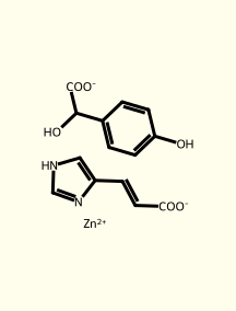 O=C([O-])C(O)c1ccc(O)cc1.O=C([O-])C=Cc1c[nH]cn1.[Zn+2]